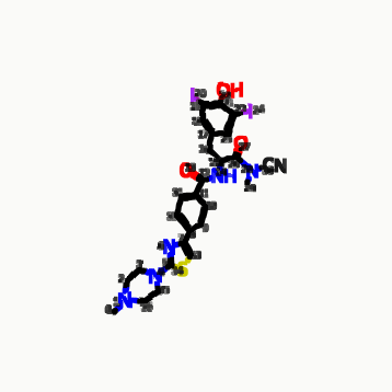 CN1CCN(c2nc(-c3ccc(C(=O)N[C@@H](Cc4cc(I)c(O)c(I)c4)C(=O)N(C)C#N)cc3)cs2)CC1